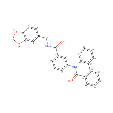 O=C(NCc1ccc2c(c1)OCO2)c1cccc(NC(=O)c2ccccc2-c2ccccc2)c1